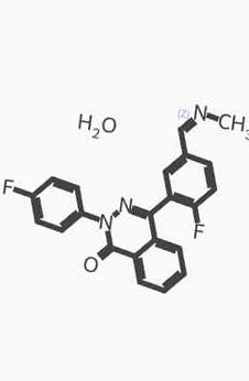 C/N=C\c1ccc(F)c(-c2nn(-c3ccc(F)cc3)c(=O)c3ccccc23)c1.O